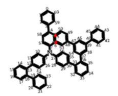 c1ccc(-c2ccc(N(c3ccc(-c4ccccc4-c4ccccc4)cc3)c3ccc(-c4ccccc4-c4cc(-c5ccccc5)cc(-c5ccccc5)c4)cc3)cc2)cc1